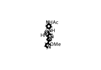 COc1ncccc1-c1cc2c(NC(C)C)c(C(=O)N[C@H]3CC[C@H](NC(C)=O)CC3)cnn2c1